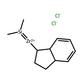 C[Si](C)=[Zr+2][CH]1CCC2C=CC=CC21.[Cl-].[Cl-]